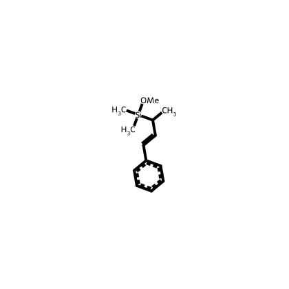 CO[Si](C)(C)C(C)C=Cc1ccccc1